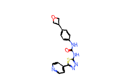 O=C(Nc1ccc(C2COC2)cc1)Nc1nnc(-c2ccncc2)s1